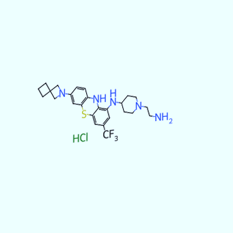 Cl.NCCN1CCC(Nc2cc(C(F)(F)F)cc3c2Nc2ccc(N4CC5(CCC5)C4)cc2S3)CC1